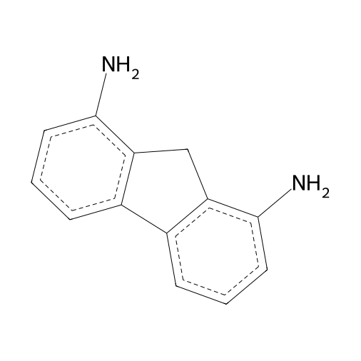 Nc1cccc2c1Cc1c(N)cccc1-2